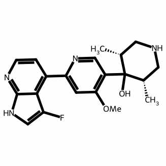 COc1cc(-c2ccnc3[nH]cc(F)c23)ncc1C1(O)[C@H](C)CNC[C@@H]1C